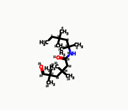 CCC(C)(C)CC(C)(C)NC(=O)CC(C)(C)CC(C)(C)C=O